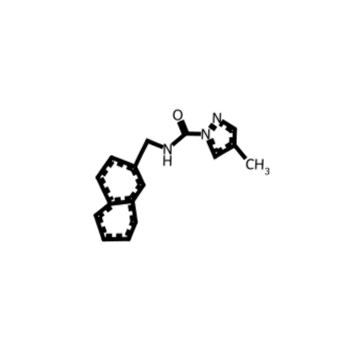 Cc1cnn(C(=O)NCc2ccc3ccccc3c2)c1